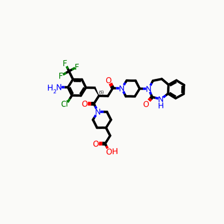 Nc1c(Cl)cc(C[C@@H](CC(=O)N2CCC(N3CCc4ccccc4NC3=O)CC2)C(=O)N2CCC(CC(=O)O)CC2)cc1C(F)(F)F